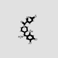 N[C@@H](c1cc(Cl)c(Cl)cc1O)C1CCN(C(=O)c2ccc(=O)[nH]c2)CC1